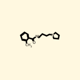 Cc1ccccc1C(=O)NCCCCN1CCCC1